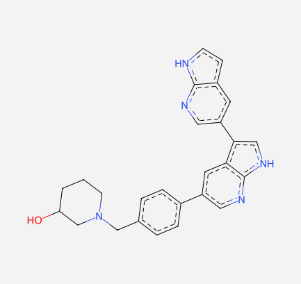 OC1CCCN(Cc2ccc(-c3cnc4[nH]cc(-c5cnc6[nH]ccc6c5)c4c3)cc2)C1